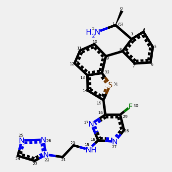 C[C@H](N)c1ccccc1-c1cccc2cc(-c3nc(NCCn4ccnn4)ncc3F)sc12